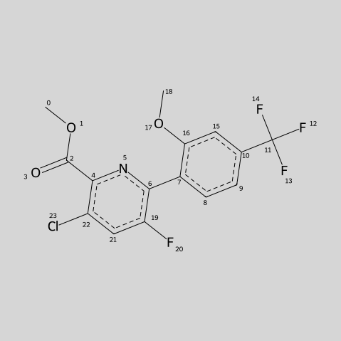 COC(=O)c1nc(-c2ccc(C(F)(F)F)cc2OC)c(F)cc1Cl